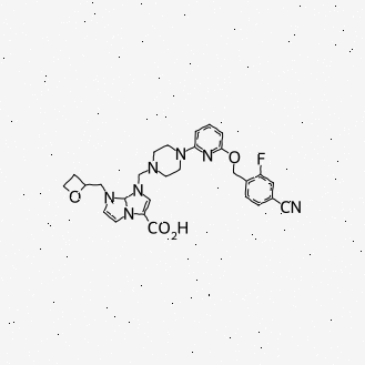 N#Cc1ccc(COc2cccc(N3CCN(CN4C=C(C(=O)O)N5C=CN(CC6CCO6)C45)CC3)n2)c(F)c1